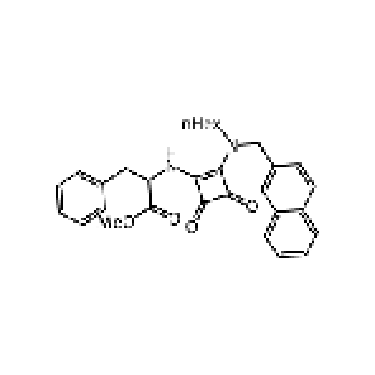 CCCCCCN(Cc1ccc2ccccc2c1)c1c(NC(Cc2ccccc2)C(=O)OC)c(=O)c1=O